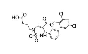 O=C(O)CCCN1C=C(C(=O)OCc2ccc(Cl)cc2Cl)C(c2ccccc2)NS1(=O)=O